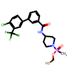 CP(=O)(OCS)N1CCC(NC(=O)c2cccc(-c3ccc(Cl)c(C(F)(F)F)c3)c2)CC1